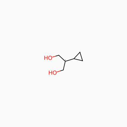 OC[C](CO)C1CC1